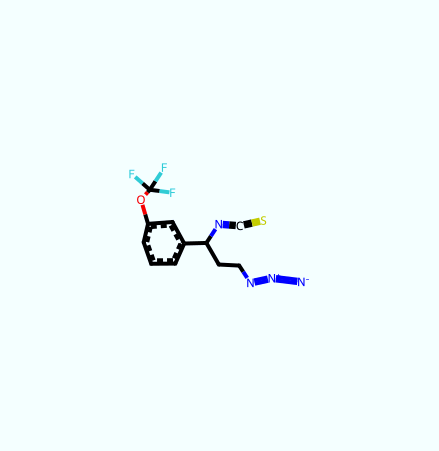 [N-]=[N+]=NCCC(N=C=S)c1cccc(OC(F)(F)F)c1